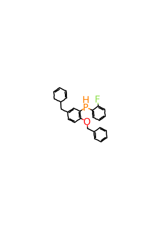 Fc1ccccc1Pc1cc(CC2C=CC=CC2)ccc1OCc1ccccc1